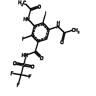 CC(=O)Nc1cc(C(=O)NS(=O)(=O)C(F)(F)F)c(I)c(NC(C)=O)c1I